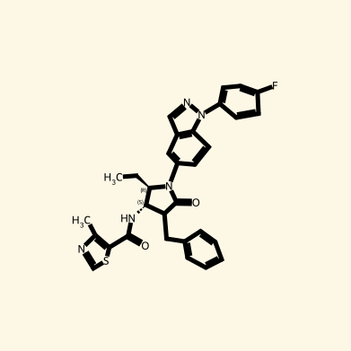 CC[C@@H]1[C@@H](NC(=O)c2scnc2C)C(Cc2ccccc2)C(=O)N1c1ccc2c(cnn2-c2ccc(F)cc2)c1